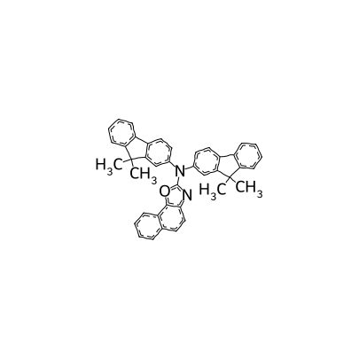 CC1(C)c2ccccc2-c2ccc(N(c3ccc4c(c3)C(C)(C)c3ccccc3-4)c3nc4ccc5ccccc5c4o3)cc21